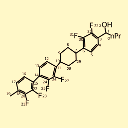 CCCC(O)c1ccc(C2CCC(c3ccc(-c4ccc(C)c(F)c4F)c(F)c3F)CC2)c(F)c1F